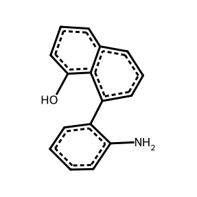 Nc1ccccc1-c1cccc2cccc(O)c12